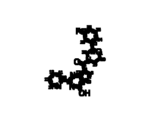 O=C(c1csc2c(O)nc(-c3ccccn3)nc12)N1CCOC(c2cccc(F)c2)C1